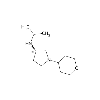 CC(C)N[C@@H]1CCN(C2CCOCC2)C1